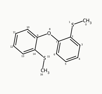 CSc1ccccc1Oc1ccccc1SC